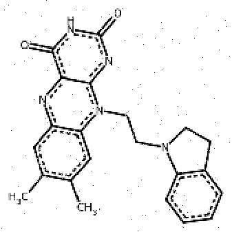 Cc1cc2nc3c(=O)[nH]c(=O)nc-3n(CCN3CCc4ccccc43)c2cc1C